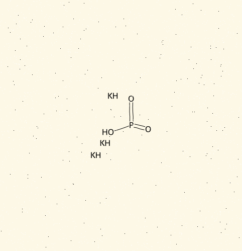 O=P(=O)O.[KH].[KH].[KH]